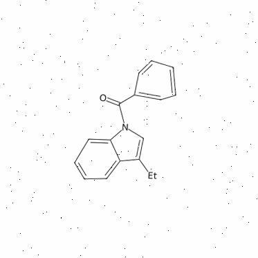 CCc1cn(C(=O)c2ccccc2)c2ccccc12